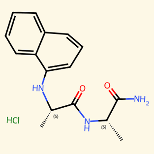 C[C@H](NC(=O)[C@H](C)Nc1cccc2ccccc12)C(N)=O.Cl